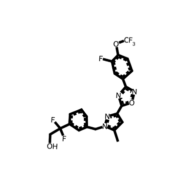 Cc1cc(-c2nc(-c3ccc(OC(F)(F)F)c(F)c3)no2)nn1Cc1cccc(C(F)(F)CO)c1